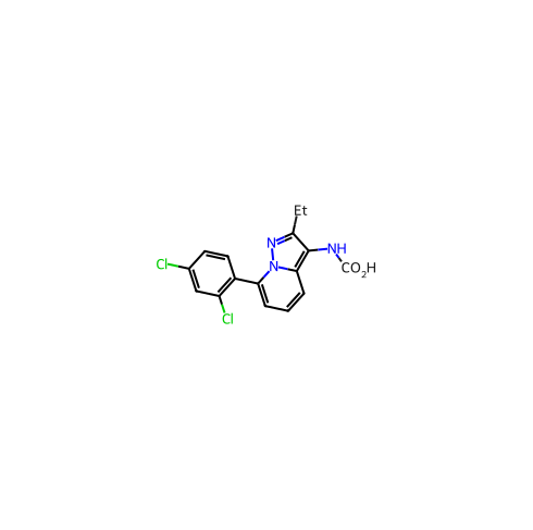 CCc1nn2c(-c3ccc(Cl)cc3Cl)cccc2c1NC(=O)O